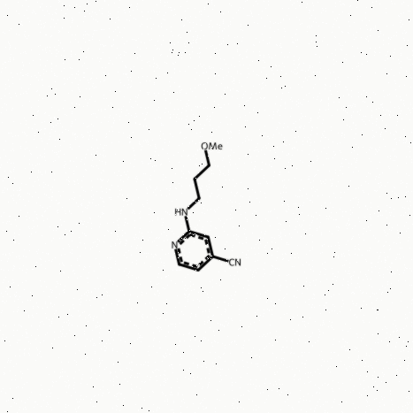 COCCCNc1cc(C#N)ccn1